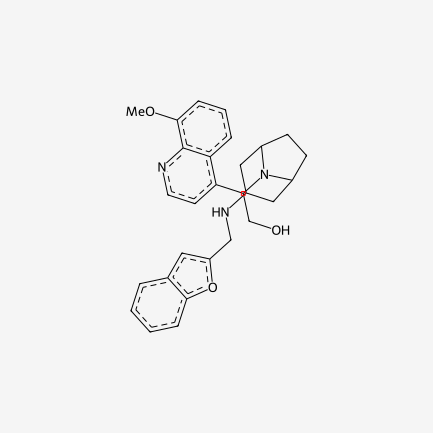 COc1cccc2c(C(CO)N3C4CCC3CC(NCc3cc5ccccc5o3)C4)ccnc12